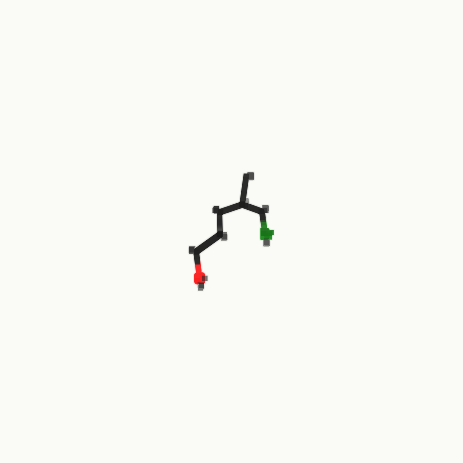 CC(CBr)CCC[O]